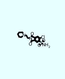 NS(=O)(=O)c1cc2c(cc1Cl)C(=O)N(CCN1CCCCC1)C2=O